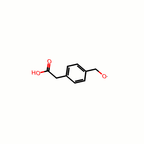 [O]Cc1ccc(CC(=O)O)cc1